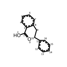 O=C(O)c1ccccc1CCc1ccccc1